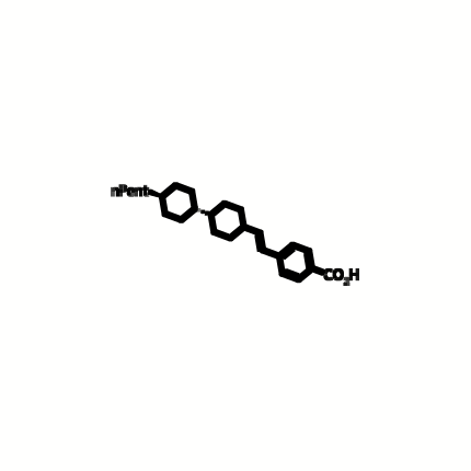 CCCCC[C@H]1CC[C@H](C2CCC(/C=C/c3ccc(C(=O)O)cc3)CC2)CC1